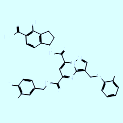 Cc1c(C(=O)O)ccc2c1CC[C@@H]2NC(=O)c1cc(C(=O)NCc2ccc(F)c(F)c2)nc2c(CNc3ccccc3Cl)cnn12